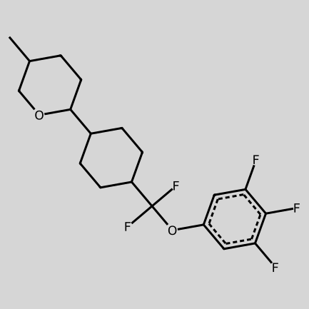 CC1CCC(C2CCC(C(F)(F)Oc3cc(F)c(F)c(F)c3)CC2)OC1